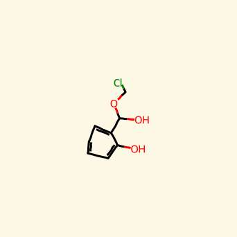 Oc1ccccc1C(O)OCCl